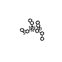 c1ccc(-c2cccc(-c3ccc(-c4nc(-c5ccc6ccccc6c5)nc(-c5ccc6sc7ccccc7c6c5)n4)c4c3oc3cc5ccccc5cc34)c2)cc1